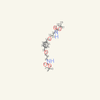 CC(C)(C)OC(=O)NCCCOCC12CCC(COCCCNC(=O)OC(C)(C)C)(CC1)CC2